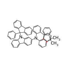 CC1(C)c2ccccc2-c2c(N(c3ccc4c5ccccc5n(C5(c6ccccc6)c6ccccc6-c6ccccc65)c4c3)c3ccccc3-c3ccccc3)cccc21